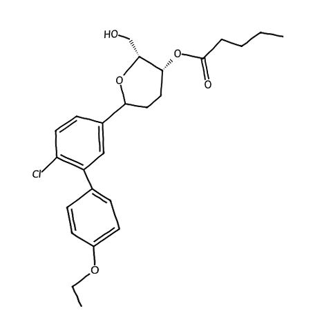 CCCCC(=O)O[C@@H]1CCC(c2ccc(Cl)c(-c3ccc(OCC)cc3)c2)O[C@@H]1CO